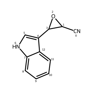 N#CC1OC1c1c[nH]c2ccccc12